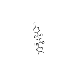 Cc1nc(NC(=O)C(C)(C)S(=O)(=O)c2ccc(Cl)cc2)sc1C